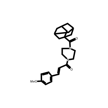 COc1ccc(C=CC(=O)N2CCN(C(=O)C34CC5CC(CC(C5)C3)C4)CC2)cc1